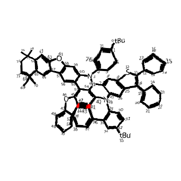 CC(C)(C)c1ccc(N2B3c4cc5sc(-c6ccccc6)c(-c6ccccc6)c5cc4N(c4ccc(C(C)(C)C)cc4-c4ccccc4)c4cc5c(oc6ccccc65)c(c43)-c3cc4c(cc32)oc2cc3c(cc24)C(C)(C)CCC3(C)C)cc1